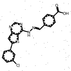 O=C(O)c1ccc(C=NNc2ncnc3cc(-c4cccc(Cl)c4)sc23)cc1